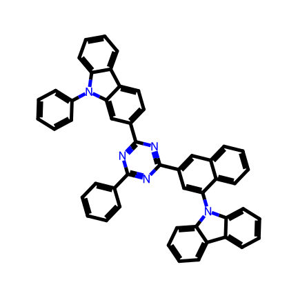 c1ccc(-c2nc(-c3cc(-n4c5ccccc5c5ccccc54)c4ccccc4c3)nc(-c3ccc4c5ccccc5n(-c5ccccc5)c4c3)n2)cc1